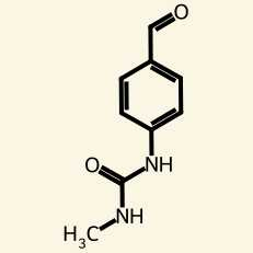 CNC(=O)Nc1ccc(C=O)cc1